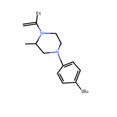 C=C(CC)N1CCN(c2ccc(C(C)(C)C)cc2)CC1C